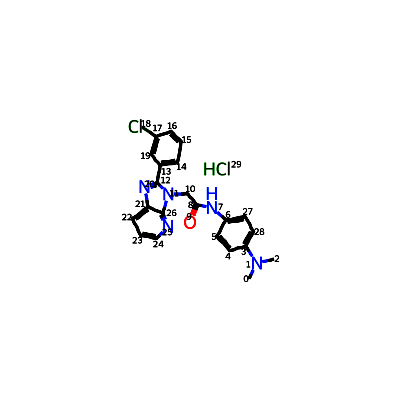 CN(C)c1ccc(NC(=O)Cn2c(-c3cccc(Cl)c3)nc3cccnc32)cc1.Cl